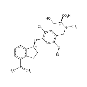 C=C(C)c1cccc2c1CC[C@@H]2Oc1cc(OCC)c(CN(C)[C@@H](CO)C(=O)O)cc1Cl